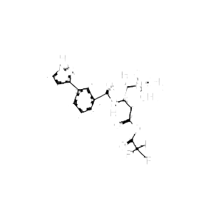 C[N+](C)(C)C[C@@H](CC(=O)OC(=O)C(F)(F)F)NC(=O)c1cccc(-c2cc[nH]n2)c1